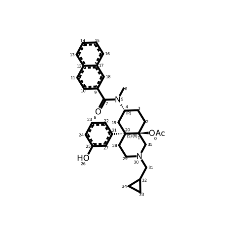 CC(=O)O[C@]12CC[C@@H](N(C)C(=O)c3ccc4ccccc4c3)C[C@]1(c1cccc(O)c1)CCN(CC1CC1)C2